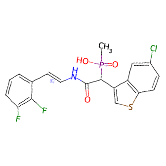 CP(=O)(O)C(C(=O)N/C=C/c1cccc(F)c1F)c1csc2ccc(Cl)cc12